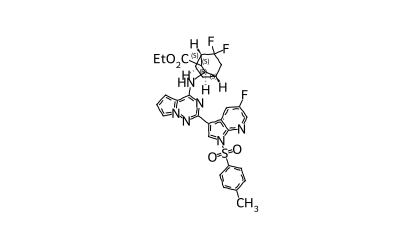 CCOC(=O)[C@@H]1[C@H](Nc2nc(-c3cn(S(=O)(=O)c4ccc(C)cc4)c4ncc(F)cc34)nn3cccc23)[C@H]2CC[C@@H]1C(F)(F)C2